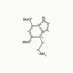 COc1cc(OC)c2[nH]ccc2c1CCN